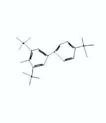 CC(C)(C)c1ccc(-c2cc(C(C)(C)C)c(O)c(C(C)(C)C)c2)cc1